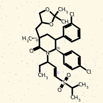 CCC(/C=C/S(=O)(=O)C(C)C)N1C(=O)[C@@](C)(CC2COC(C)(C)O2)CC(c2cccc(Cl)c2)[C@H]1c1ccc(Cl)cc1